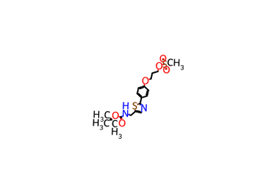 CC(C)(C)OC(=O)NCc1cnc(-c2ccc(OCCCOS(C)(=O)=O)cc2)s1